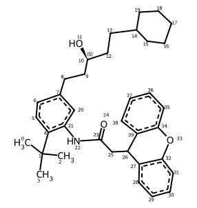 CC(C)(C)c1ccc(CC[C@@H](O)CCC2CCCCC2)cc1NC(=O)CC1c2ccccc2Oc2ccccc21